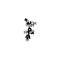 COC(C)CN1c2ccc(CNC(C(=O)OCC(C)(C)C)C(C)O)cc2NC1c1cc(C)c(=O)n(C)c1